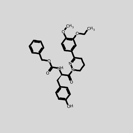 CCOc1cc(C2=NN(C(=O)[C@@H](Cc3ccc(O)cc3)NC(=O)OCc3ccccc3)CCC2)ccc1OC